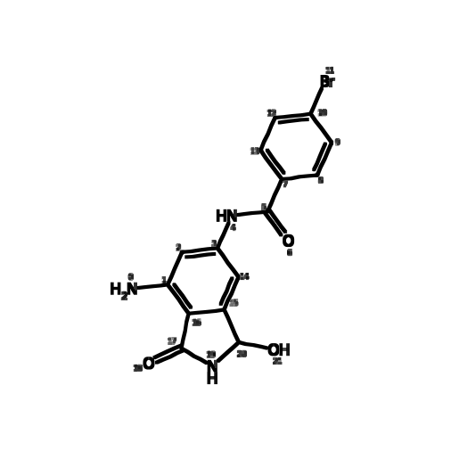 Nc1cc(NC(=O)c2ccc(Br)cc2)cc2c1C(=O)NC2O